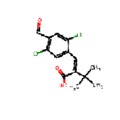 CC(C)(C)C(=Cc1cc(Cl)c(C=O)cc1Cl)C(=O)O